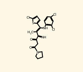 C/C(C(=N)C(=O)CC(=O)N1CCCC1)=C(/Nc1ccc(Cl)cc1Cl)c1ccc(Cl)s1